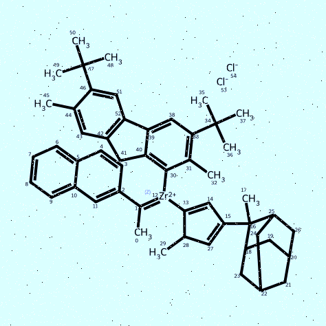 C/[C](c1ccc2ccccc2c1)=[Zr+2](\[C]1=CC(C2(C)C3CC4CC(C3)CC2C4)=CC1C)[c]1c(C)c(C(C)(C)C)cc2c1Cc1cc(C)c(C(C)(C)C)cc1-2.[Cl-].[Cl-]